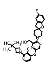 CC(C)(O)C1CN(c2nccc(Sc3cnc(N4CCC5(CC4)Cc4cc(F)ccc4O5)c(CO)n3)c2Cl)C1